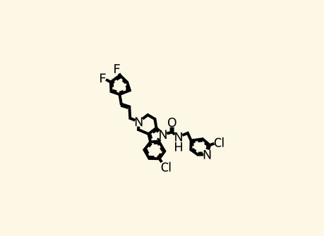 O=C(NCc1ccnc(Cl)c1)n1c2c(c3ccc(Cl)cc31)CN(CC=Cc1ccc(F)c(F)c1)CC2